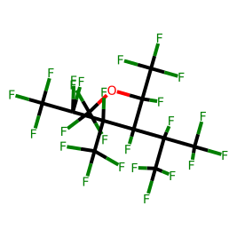 FC(F)(F)OC(F)(C(F)(F)F)C(F)(C(F)(C(F)(F)F)C(F)(F)F)C(F)(C(F)(F)F)C(F)(F)C(F)(F)F